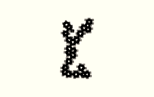 CCc1nc2ccccc2n1-c1cccc(-c2ccc3c(-c4ccc5ccc6c(-c7ccc(-c8ccc9ccc%10ccc(-c%11ccc(-c%12nc%13ccccc%13n%12-c%12ccccc%12)cc%11)nc%10c9n8)cc7)ccc7ccc4c5c76)cc4ccc(-c5ccc(-c6ccc7c8c(cccc68)-c6ccccc6-7)cc5)nc4c3n2)c1